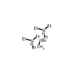 CCCCC.CC[SiH](CC)CC.CC[SiH](CC)CC